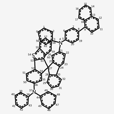 c1ccc(N(c2ccc(-c3cccc4ccccc34)cc2)c2ccc3c(c2)C2(c4ccccc4-3)c3cc(N(c4ccccc4)c4ccccc4)ccc3-c3sc4ccccc4c32)cc1